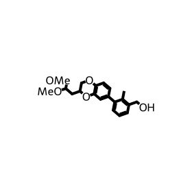 COC(CC1COc2ccc(-c3cccc(CO)c3C)cc2O1)OC